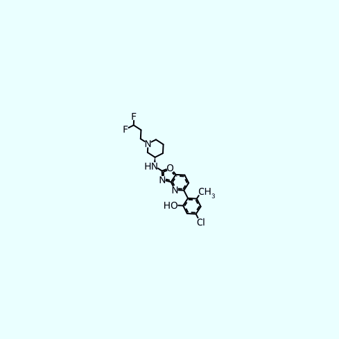 Cc1cc(Cl)cc(O)c1-c1ccc2oc(N[C@@H]3CCCN(CCC(F)F)C3)nc2n1